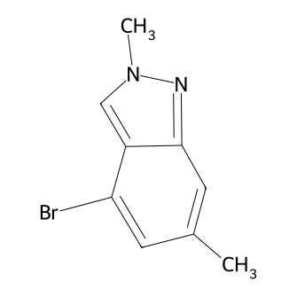 Cc1cc(Br)c2cn(C)nc2c1